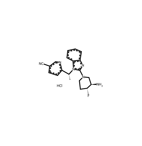 C[C@H](c1ccc(C#N)cn1)n1c(N2CC[C@@H](F)[C@H](N)C2)nc2ccccc21.Cl